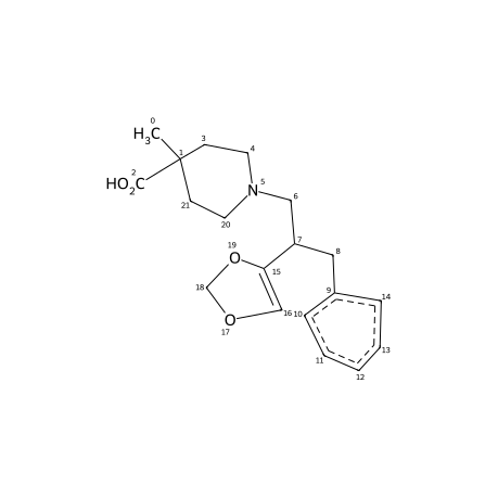 CC1(C(=O)O)CCN(CC(Cc2ccccc2)C2=COCO2)CC1